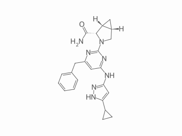 NC(=O)[C@@H]1[C@@H]2C[C@@H]2CN1c1nc(Cc2ccccc2)cc(Nc2cc(C3CC3)[nH]n2)n1